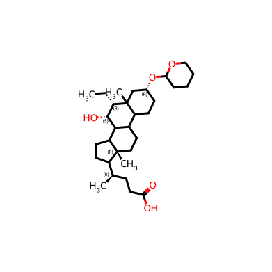 CC[C@H]1[C@@H](O)C2C(CC[C@@]3(C)C2CCC3[C@H](C)CCC(=O)O)C2CC[C@@H](OC3CCCCO3)CC21C